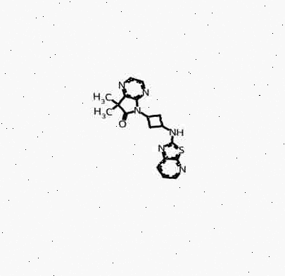 CC1(C)C(=O)N(C2CC(Nc3nc4cccnc4s3)C2)c2nccnc21